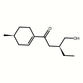 CC[C@H](CO)CC(=O)C1=CC[C@@H](C)CC1